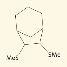 CSC1C2CCCC(C2)C1SC